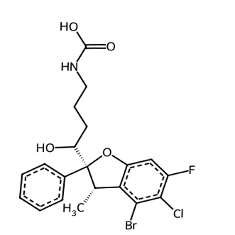 C[C@H]1c2c(cc(F)c(Cl)c2Br)O[C@@]1(c1ccccc1)C(O)CCCNC(=O)O